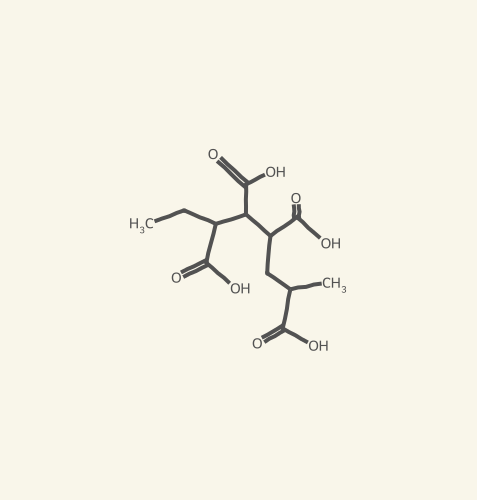 CCC(C(=O)O)C(C(=O)O)C(CC(C)C(=O)O)C(=O)O